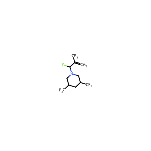 C=C(C(F)N1CC(C(F)(F)F)CC(C(F)(F)F)C1)C(F)(F)F